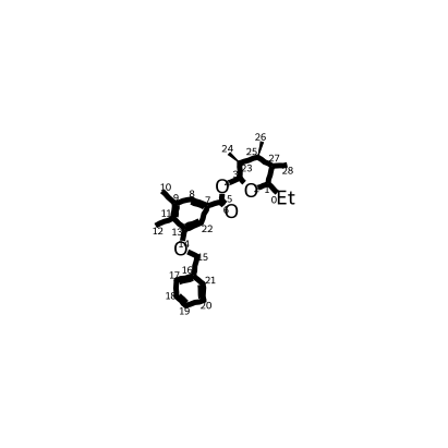 CCC1OC(OC(=O)c2cc(C)c(C)c(OCc3ccccc3)c2)[C@@H](C)[C@@H](C)C1C